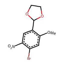 COc1cc(Br)c([N+](=O)[O-])cc1C1OCCO1